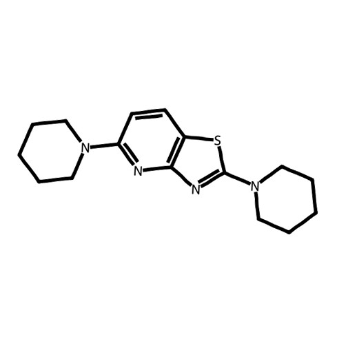 c1cc2sc(N3CCCCC3)nc2nc1N1CCCCC1